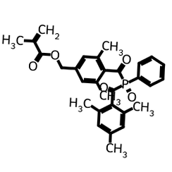 C=C(C)C(=O)OCc1cc(C)c(C(=O)P(=O)(C(=O)c2c(C)cc(C)cc2C)c2ccccc2)c(C)c1